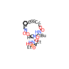 CC[C@@H]1C[C@]1(NC(=O)[C@@H]1C[C@@H]2CN1C(=O)[C@H](C(C)(C)C)NC(=O)OC[C@H](C)CCCCc1cccc3c1CN(C3)C(=O)O2)P(=O)(O)CC